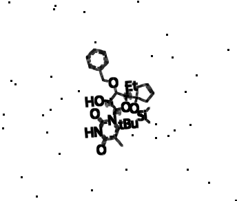 CC[C@@]1(C2(O[Si](C)(C)C(C)(C)C)CC=CC2)O[C@@H](n2cc(C)c(=O)[nH]c2=O)[C@@H](O)C1OCc1ccccc1